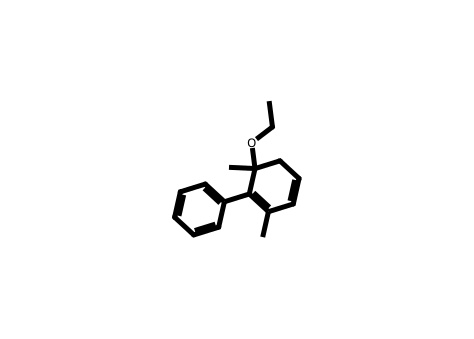 CCOC1(C)CC=CC(C)=C1c1ccccc1